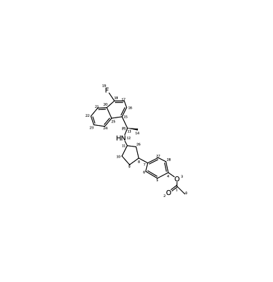 CC(=O)Oc1ccc(C2CCC(N[C@H](C)c3ccc(F)c4ccccc34)C2)cc1